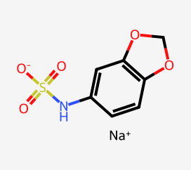 O=S(=O)([O-])Nc1ccc2c(c1)OCO2.[Na+]